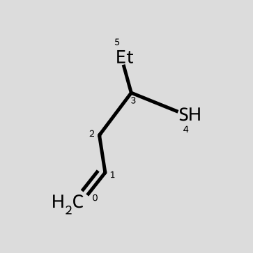 C=CCC(S)CC